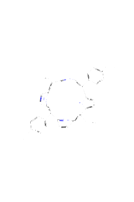 CCCCCCc1cncc(-c2ccc(C(=O)O)cc2)c2ccc([nH]2)c(CCCCCC)c2nc(c(-c3ccc(C(=O)O)cc3)c3ccc1[nH]3)C=C2